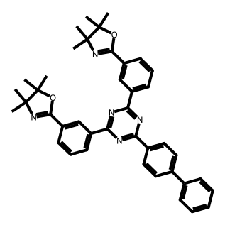 CC1(C)N=C(c2cccc(-c3nc(-c4ccc(-c5ccccc5)cc4)nc(-c4cccc(C5=NC(C)(C)C(C)(C)O5)c4)n3)c2)OC1(C)C